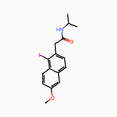 COc1ccc2c(I)c(CC(=O)NC(C)C)ccc2c1